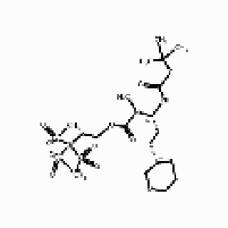 CN(C(=O)OCC[Si](S(C)(=O)=O)(S(C)(=O)=O)S(C)(=O)=O)[C@@H](CC[C@@H]1CCCOC1)NC(=O)OC(C)(C)C